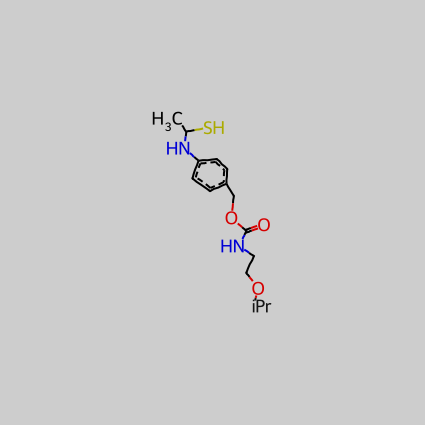 CC(S)Nc1ccc(COC(=O)NCCOC(C)C)cc1